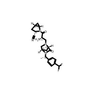 C[C@@H](c1ccc(C(F)F)cc1)N1C(=O)[C@@H]2C[C@H]1CN2C[C@H](N)C(=O)N1[C@H](C#N)C[C@@H]2C[C@@H]21